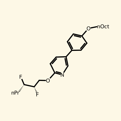 CCCCCCCCOc1ccc(-c2ccc(OC[C@H](F)[C@@H](F)CCC)nc2)cc1